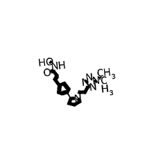 CC(C)n1nnc(CCN2CCC[C@H]2c2ccc(C=CC(=O)NO)cc2)n1